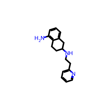 Nc1cccc2c1CCC(NCCc1ccccn1)C2